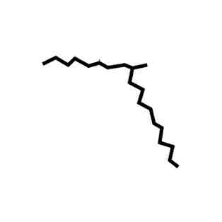 CCCCC[CH]CCC(C)CCCCCCCCCC